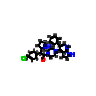 O=C(C(c1ccc(Cl)cc1)C1CCCN1)N1CCN(c2c(-c3ccccc3)cnc3[nH]ccc23)CC1